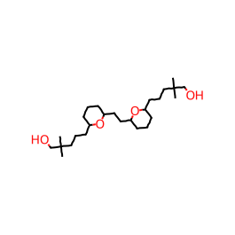 CC(C)(CO)CCCC1CCCC(CCC2CCCC(CCCC(C)(C)CO)O2)O1